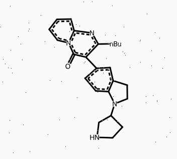 CCCCc1nc2ccccn2c(=O)c1-c1ccc2c(c1)CCN2C1CCNC1